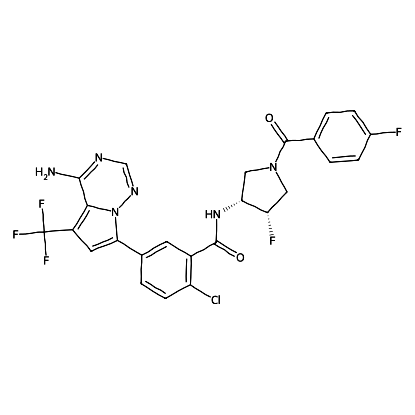 Nc1ncnn2c(-c3ccc(Cl)c(C(=O)N[C@@H]4CN(C(=O)c5ccc(F)cc5)C[C@@H]4F)c3)cc(C(F)(F)F)c12